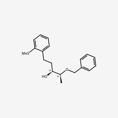 CSc1ccccc1CC[C@H](O)[C@H](C)OCc1ccccc1